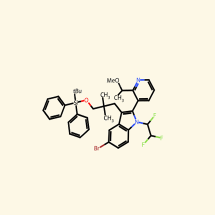 COC(C)c1ncccc1-c1c(CC(C)(C)CO[Si](c2ccccc2)(c2ccccc2)C(C)(C)C)c2cc(Br)ccc2n1C(F)C(F)F